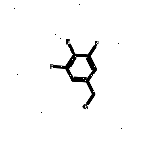 [O]Cc1cc(F)c(F)c(F)c1